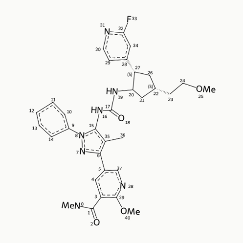 CNC(=O)c1cc(-c2nn(-c3ccccc3)c(NC(=O)NC3C[C@@H](CCOC)C[C@H]3c3ccnc(F)c3)c2C)cnc1OC